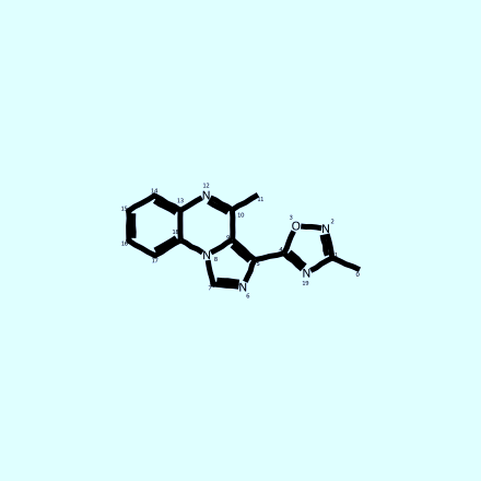 Cc1noc(-c2ncn3c2c(C)nc2ccccc23)n1